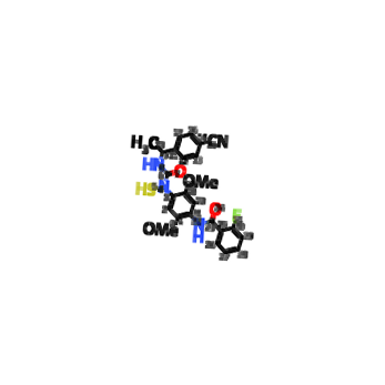 COc1cc(N(S)C(=O)NC(C)c2ccc(C#N)cc2)c(OC)cc1NC(=O)c1ccccc1F